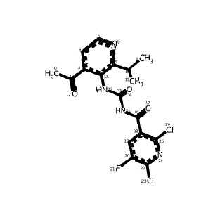 CC(=O)c1ccnc(C(C)C)c1NC(=O)NC(=O)c1cc(F)c(Cl)nc1Cl